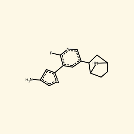 Nc1csc(-c2cc(C3CC4CCC3N4)cnc2F)c1